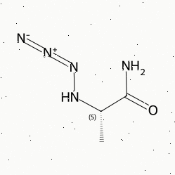 C[C@H](NN=[N+]=[N-])C(N)=O